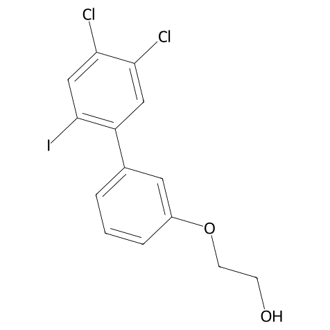 OCCOc1cccc(-c2cc(Cl)c(Cl)cc2I)c1